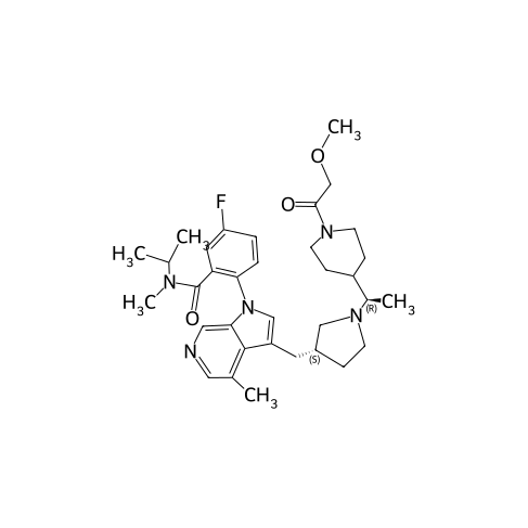 COCC(=O)N1CCC([C@@H](C)N2CC[C@H](Cc3cn(-c4ccc(F)cc4C(=O)N(C)C(C)C)c4cncc(C)c34)C2)CC1